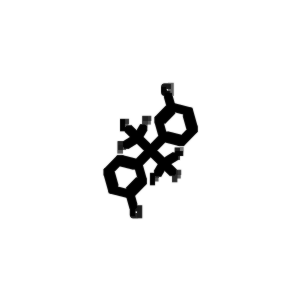 FC(F)(F)C(c1cccc(Cl)c1)(c1cccc(Cl)c1)C(F)(F)F